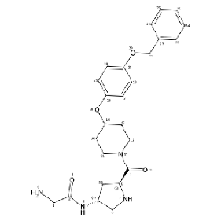 NCC(=O)N[C@H]1CN[C@H](C(=O)N2CCC(Oc3ccc(OCc4ccccc4)cc3)CC2)C1